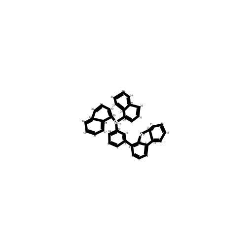 c1cc(-c2cccc3c2sc2ccccc23)cc(N(c2cccc3ccccc23)c2cccc3ccccc23)c1